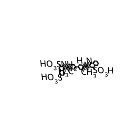 Cc1cc(-c2ccc(N=Nc3c(N)c(S(=O)(=O)O)cc4cc(S(=O)(=O)O)ccc34)c(C)c2)ccc1N=Nc1cc(S(=O)(=O)O)c2ccccc2c1N